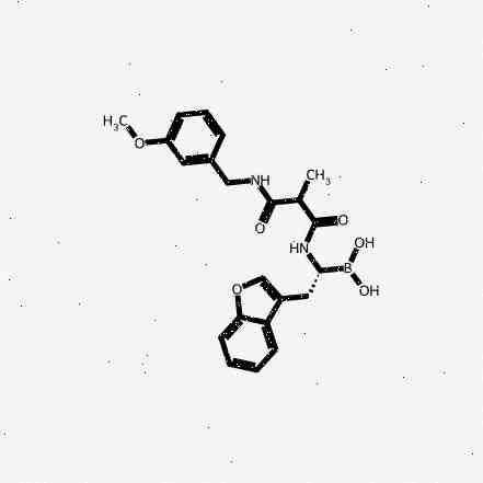 COc1cccc(CNC(=O)C(C)C(=O)N[C@@H](Cc2coc3ccccc23)B(O)O)c1